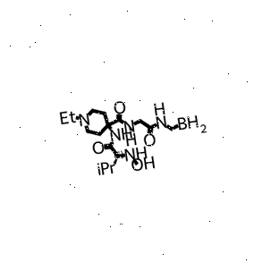 BCNC(=O)CNC(=O)C1(NC(=O)[C@@H](NO)C(C)C)CCN(CC)CC1